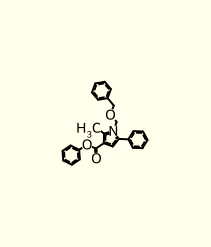 Cc1c(C(=O)Oc2ccccc2)cc(-c2ccccc2)n1COCc1ccccc1